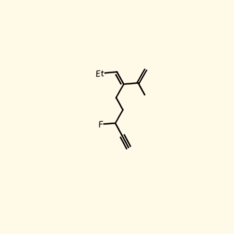 C#CC(F)CC/C(=C\CC)C(=C)C